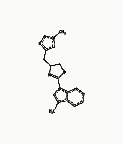 Cn1cnc(CC2COC(c3cn(C)c4ccccc34)=N2)c1